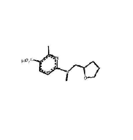 Cc1nc(N(C)CC2CCCO2)ccc1C(=O)O